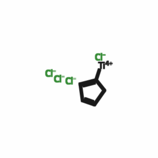 [Cl-].[Cl-].[Cl-].[Cl-].[Ti+4][C]1=CC=CC1